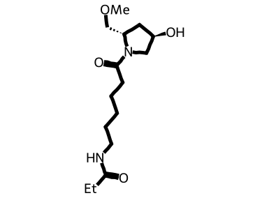 CCC(=O)NCCCCCC(=O)N1C[C@H](O)C[C@H]1COC